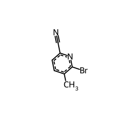 Cc1ccc(C#N)nc1Br